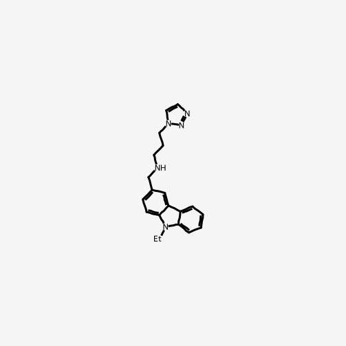 CCn1c2ccccc2c2cc(CNCCCn3ccnn3)ccc21